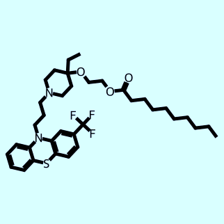 CCCCCCCCCC(=O)OCCOC1(CC)CCN(CCCN2c3ccccc3Sc3ccc(C(F)(F)F)cc32)CC1